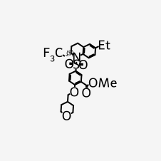 CCc1ccc2c(c1)CC[C@@H](CC(F)(F)F)N2S(=O)(=O)c1ccc(OCC2CCOCC2)c(C(=O)OC)c1